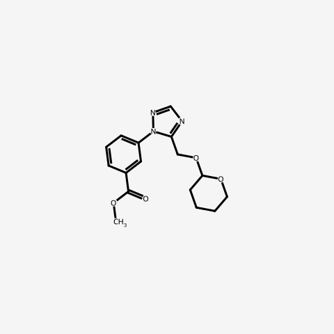 COC(=O)c1cccc(-n2ncnc2COC2CCCCO2)c1